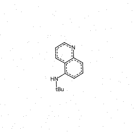 CC(C)(C)Nc1cccc2ncccc12